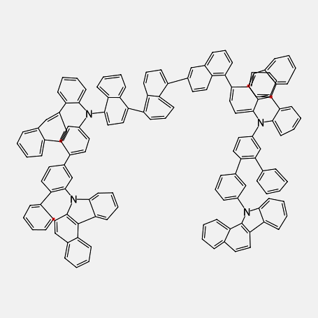 c1ccc(-c2cc(N(c3ccccc3-c3cccc4ccccc34)c3ccc(-c4cccc5cc(-c6cccc7c(-c8ccc(N(c9ccc(-c%10ccc(-c%11ccccc%11)c(-n%11c%12ccccc%12c%12c%13ccccc%13ccc%12%11)c%10)cc9)c9ccccc9-c9ccc%10ccccc%10c9)c9ccccc89)cccc67)ccc45)c4ccccc34)ccc2-c2cccc(-n3c4ccccc4c4ccc5ccccc5c43)c2)cc1